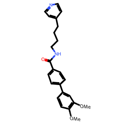 COc1ccc(-c2ccc(C(=O)NCCCCc3ccncc3)cc2)cc1OC